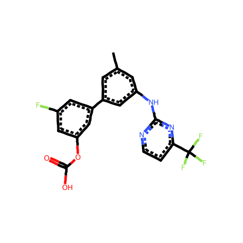 Cc1cc(Nc2nccc(C(F)(F)F)n2)cc(-c2cc(F)cc(OC(=O)O)c2)c1